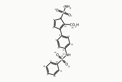 NS(=O)(=O)C1C=CC(c2ccc(NS(=O)(=O)c3ccccc3)cc2)=C1C(=O)O